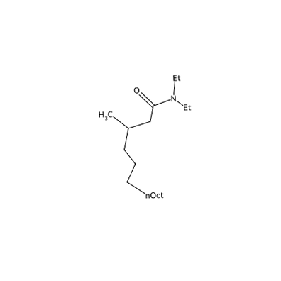 CCCCCCCCCCCC(C)CC(=O)N(CC)CC